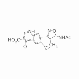 CC(=O)NC1ON=C(c2cc3[nH]cc(C(=O)O)c(=O)c3cc2C2CC2)C1C